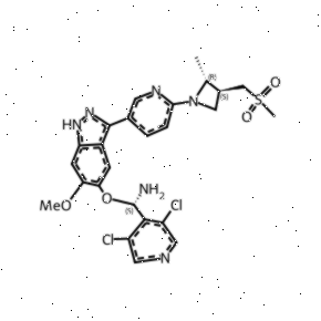 COc1cc2[nH]nc(-c3ccc(N4C[C@H](CS(C)(=O)=O)[C@H]4C)nc3)c2cc1O[C@H](N)c1c(Cl)cncc1Cl